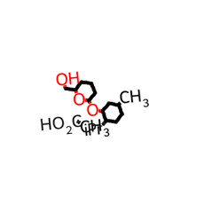 CC(=O)O.CC1CCC(C(C)C)C(OC2CCCC(CO)O2)C1